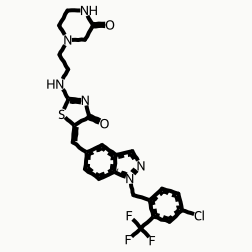 O=C1CN(CCNC2=NC(=O)C(=Cc3ccc4c(cnn4Cc4ccc(Cl)cc4C(F)(F)F)c3)S2)CCN1